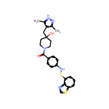 Cc1n[nH]c(C)c1CC1(O)CCN(C(=O)c2ccc(NSc3cccc4scnc34)cc2)CC1